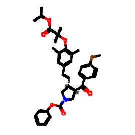 CSc1ccc(C(=O)[C@H]2CN(C(=O)Oc3ccccc3)C[C@@H]2CCc2cc(C)c(OC(C)(C)C(=O)OC(C)C)c(C)c2)cc1